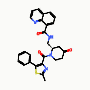 Cc1nc(C(=O)N2CCC(=O)C[C@H]2CNC(=O)c2cccc3cccnc23)c(-c2ccccc2)s1